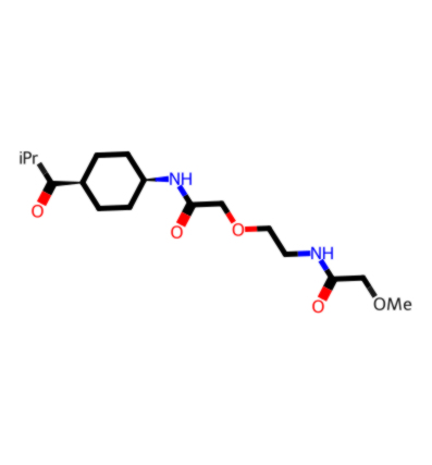 COCC(=O)NCCOCC(=O)N[C@H]1CC[C@@H](C(=O)C(C)C)CC1